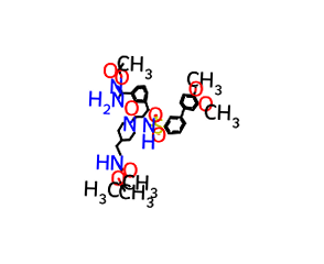 COc1ccc(-c2cccc(S(=O)(=O)NC(Cc3cccc(/C(N)=N\OC(C)=O)c3)C(=O)N3CCC(CCNC(=O)OC(C)(C)C)CC3)c2)cc1OC